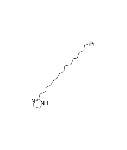 CC(C)CCCCCCCCCCCCCCCC1=NCCN1